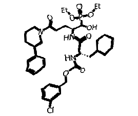 CCOP(=O)(OCC)C(O)[C@H](CCC(=O)N1CCCC(c2ccccc2)C1)NC(=O)[C@H](CC1CCCCC1)NC(=O)OCc1cccc(Cl)c1